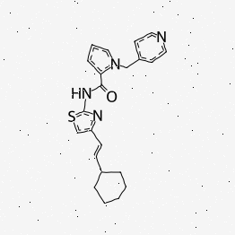 O=C(Nc1nc(/C=C/C2CCCCC2)cs1)c1cccn1Cc1ccncc1